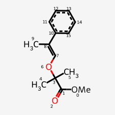 COC(=O)C(C)(C)OC=C(C)c1ccccc1